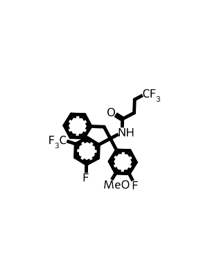 COc1cc(C(Cc2ccccc2)(NC(=O)CCC(F)(F)F)c2cc(F)cc(C(F)(F)F)c2)ccc1F